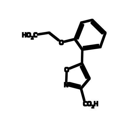 O=C(O)COc1ccccc1-c1cc(C(=O)O)no1